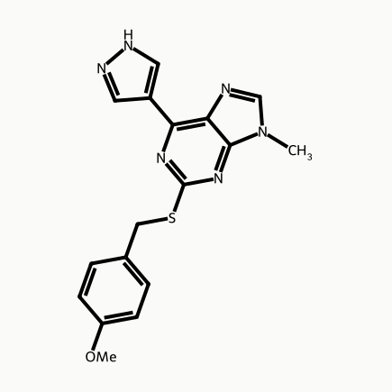 COc1ccc(CSc2nc(-c3cn[nH]c3)c3ncn(C)c3n2)cc1